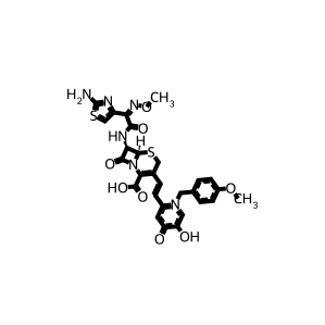 CO/N=C(\C(=O)N[C@@H]1C(=O)N2C(C(=O)O)=C(C=Cc3cc(=O)c(O)cn3Cc3ccc(OC)cc3)CS[C@H]12)c1csc(N)n1